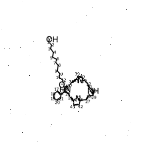 OCCCCCCCCCCCCOc1c(-c2ccccc2)c2cc3nc(cc4ccc(cc5nc(cc1[nH]2)C=C5)[nH]4)C=C3